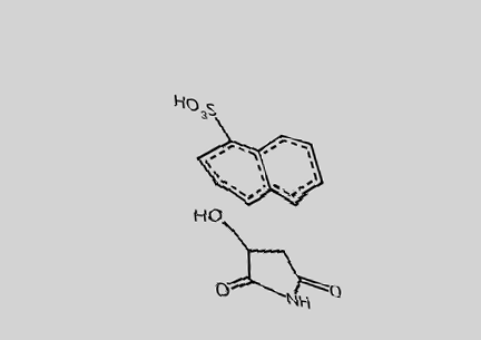 O=C1CC(O)C(=O)N1.O=S(=O)(O)c1cccc2ccccc12